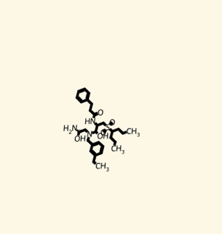 CCCC(CCC)S(=O)(=O)CC(NC(=O)CCc1ccccc1)C(O)N(Cc1cccc(CC)c1)C[C@H](N)O